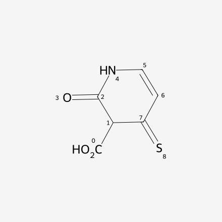 O=C(O)C1C(=O)NC=CC1=S